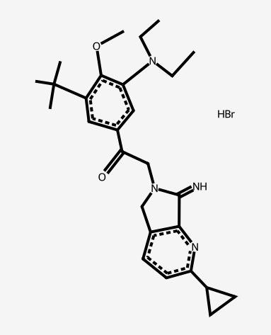 Br.CCN(CC)c1cc(C(=O)CN2Cc3ccc(C4CC4)nc3C2=N)cc(C(C)(C)C)c1OC